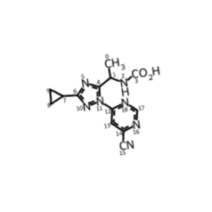 CC(NC(=O)O)c1nc(C2CC2)nn1-c1cc(C#N)ncn1